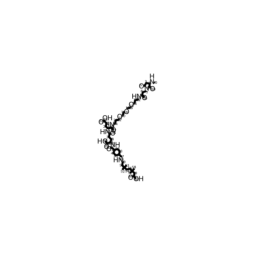 CNC1CC(=O)N(CCC(=O)NCCCOCCOCCOCCCNC(=O)C(CCC(=O)O)NC(=O)CCC(NC(=O)C2CCC(CNCCC(C)(C)CCC(C)(C)CC(=O)O)CC2)C(=O)O)C1=O